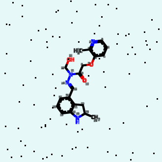 Cc1ncccc1OCC(=O)N(CO)/N=C/c1cccc2c1CC(C)N2